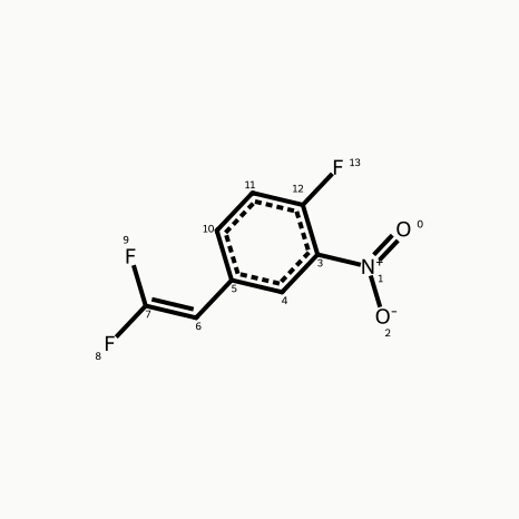 O=[N+]([O-])c1cc(C=C(F)F)ccc1F